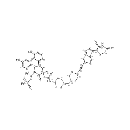 CC(C)[C@@H](CS(=O)(=O)C(C)C)N1C(=O)[C@@](C)(CC(=O)N[C@H]2CC[C@H](CN3CCC(C#Cc4ccn5c(N6CCC(=O)NC6=O)cnc5c4)CC3)CC2)C[C@H](c2cccc(Cl)c2)[C@H]1c1ccc(Cl)cc1